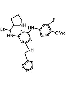 CCC(Nc1nc(NCc2cccs2)nc(Nc2ccc(OC)c(F)c2)n1)C1CCCN1